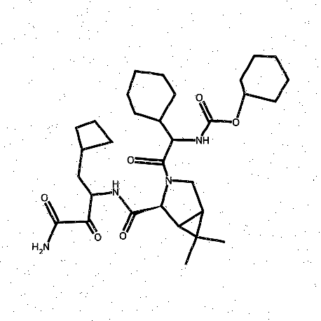 CC1(C)C2CN(C(=O)C(NC(=O)OC3CCCCC3)C3CCCCC3)[C@H](C(=O)NC(CC3CCC3)C(=O)C(N)=O)C21